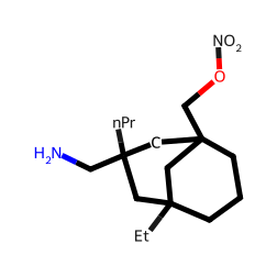 CCCC1(CN)CC2(CC)CCCC(CO[N+](=O)[O-])(C2)C1